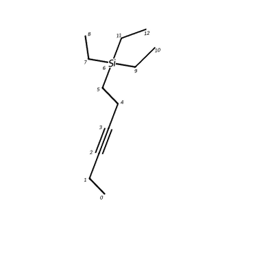 CCC#CCC[Si](CC)(CC)CC